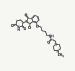 CN1CCN(CC(=O)NCCCCOc2cccc3c2C(=O)N(C2CCC(=O)NC2=O)C3=O)CC1